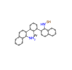 CC(C)c1c(-c2ccc3ccccc3c2N)cccc1-c1ccc2ccccc2c1NS